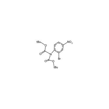 CC(C)(C)OC(=O)N(C(=O)OC(C)(C)C)c1ccc([N+](=O)[O-])cc1Br